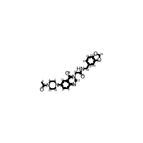 CC(=O)N1CCN(c2ccc3ncn(CC(=O)NCc4ccc5c(c4)OCO5)c(=O)c3c2)CC1